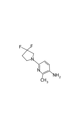 Cc1nc(N2CCC(F)(F)C2)ccc1N